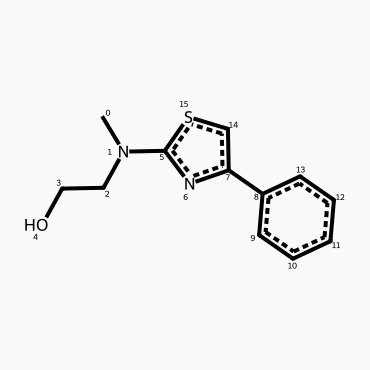 CN(CCO)c1nc(-c2ccccc2)cs1